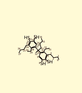 CCCCc1c(S)c(S)cc(C(C)(CCCC)c2cc(S)c(S)c(CCCC)c2CC)c1CC